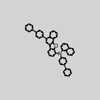 c1ccc(-c2ccc(-c3cc4c5cccc(N(c6ccc(-c7ccccc7)cc6)c6cccc7ccccc67)c5oc4c4ccccc34)cc2)cc1